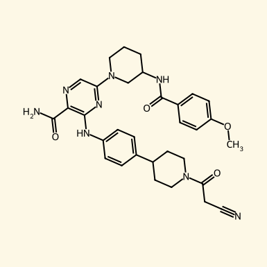 COc1ccc(C(=O)NC2CCCN(c3cnc(C(N)=O)c(Nc4ccc(C5CCN(C(=O)CC#N)CC5)cc4)n3)C2)cc1